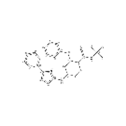 CC(C)(C)OC(=O)N1CCC(Nc2ccn(-c3ccccc3)n2)CC1Cc1ccccc1